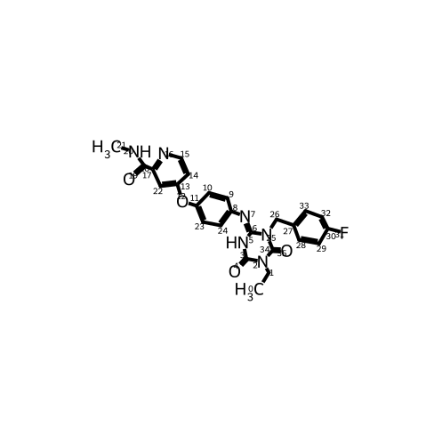 CCn1c(=O)[nH]/c(=N\c2ccc(Oc3ccnc(C(=O)NC)c3)cc2)n(Cc2ccc(F)cc2)c1=O